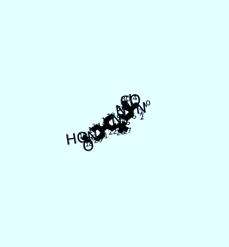 CN(C)C(=O)c1ccc(N2CCC(C3CCN(C(=O)O)CC3)CC2C(C)(C)C)nc1Cl